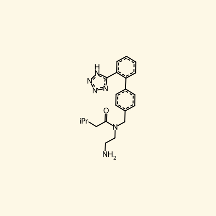 CC(C)CC(=O)N(CCN)Cc1ccc(-c2ccccc2-c2nnn[nH]2)cc1